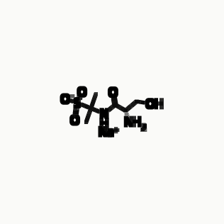 CC(C)(NC(=O)[C@@H](N)CO)S(=O)(=O)[O-].[Na+]